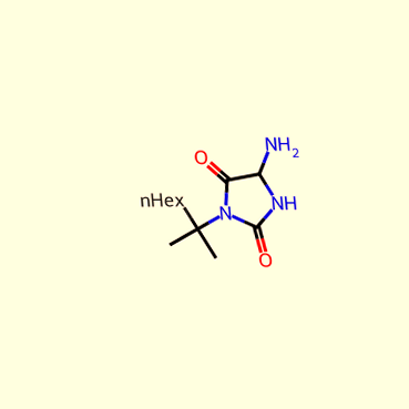 CCCCCCC(C)(C)N1C(=O)NC(N)C1=O